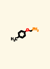 Cc1ccc(OCP)cc1